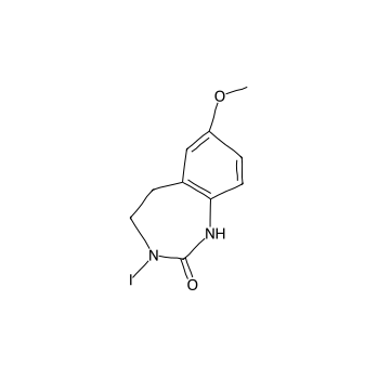 COc1ccc2c(c1)CCN(I)C(=O)N2